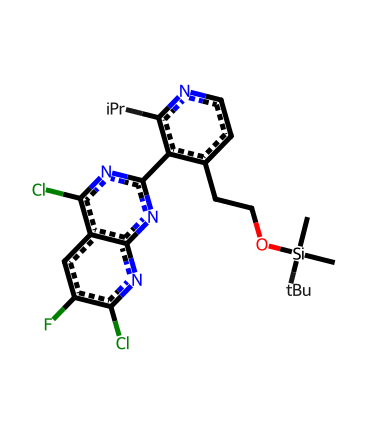 CC(C)c1nccc(CCO[Si](C)(C)C(C)(C)C)c1-c1nc(Cl)c2cc(F)c(Cl)nc2n1